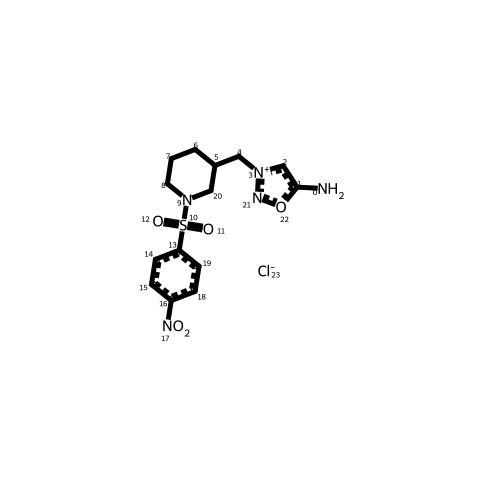 Nc1c[n+](CC2CCCN(S(=O)(=O)c3ccc([N+](=O)[O-])cc3)C2)no1.[Cl-]